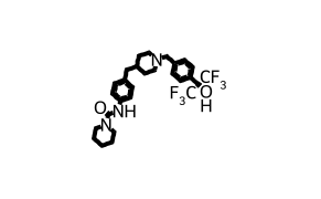 O=C(Nc1ccc(CC2CCN(Cc3ccc(C(O)(C(F)(F)F)C(F)(F)F)cc3)CC2)cc1)N1CCCCC1